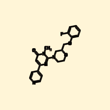 Cn1c(N2CCOC(COc3ccccc3F)C2)nc(-c2ccncc2)cc1=O